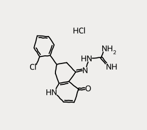 Cl.N=C(N)NN=C1CC(c2ccccc2Cl)Cc2[nH]ccc(=O)c21